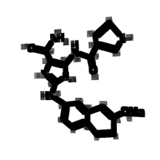 COc1ccc2ccc(Nc3nc(C(N)=O)c(NC(=O)c4ccsc4)s3)cc2c1